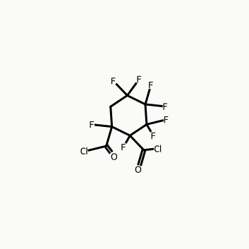 O=C(Cl)C1(F)CC(F)(F)C(F)(F)C(F)(F)C1(F)C(=O)Cl